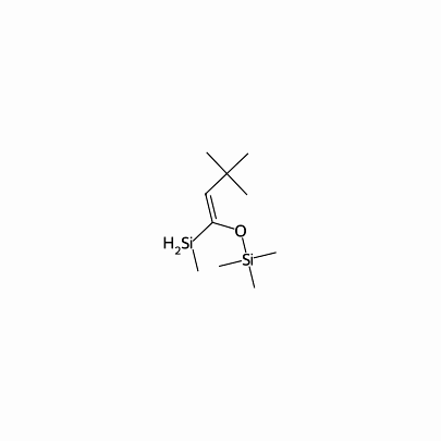 C[SiH2]C(=CC(C)(C)C)O[Si](C)(C)C